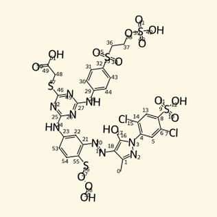 Cc1nn(-c2cc(Cl)c(S(=O)(=O)O)cc2Cl)c(O)c1N=Nc1cc(Nc2nc(Nc3ccc(S(=O)(=O)CCOS(=O)(=O)O)cc3)nc(SCC(=O)O)n2)ccc1SOOO